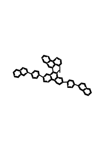 Ic1c(-c2cc3ccccc3c3ccccc23)c2cc(-c3ccc(-c4ccc5ccccc5c4)cc3)ccc2c2ccc(-c3ccc(-c4ccc5ccccc5c4)cc3)cc12